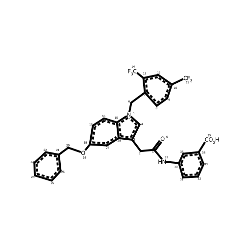 O=C(Cc1cn(Cc2ccc(C(F)(F)F)cc2C(F)(F)F)c2ccc(OCc3ccccc3)cc12)Nc1cccc(C(=O)O)c1